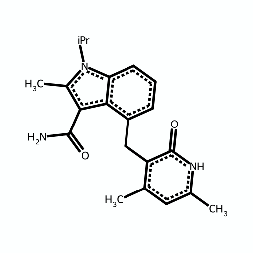 Cc1cc(C)c(Cc2cccc3c2c(C(N)=O)c(C)n3C(C)C)c(=O)[nH]1